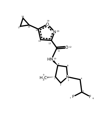 C[C@H]1CN(CC(F)F)C[C@@H]1NC(=O)c1cc(C2CC2)on1